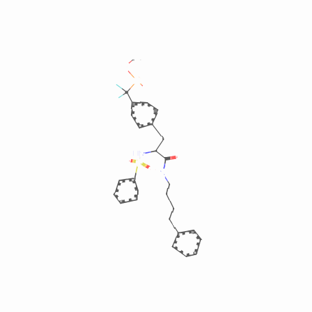 CCC(C)OP(=O)(O)C(F)(F)c1ccc(CC(NS(=O)(=O)c2ccccc2)C(=O)NCCCCc2ccccc2)cc1